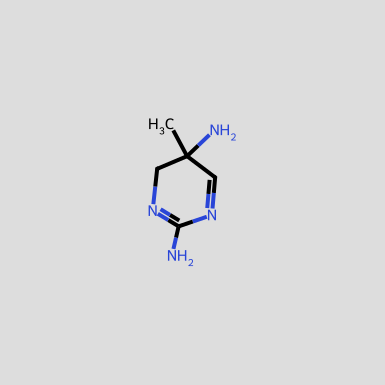 CC1(N)C=NC(N)=NC1